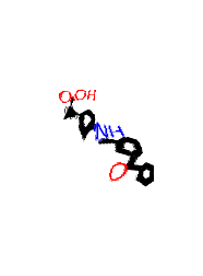 O=C(c1ccccc1)c1cccc(CNC2C=CC([C@@H]3C[C@H]3C(=O)O)=CC2)c1